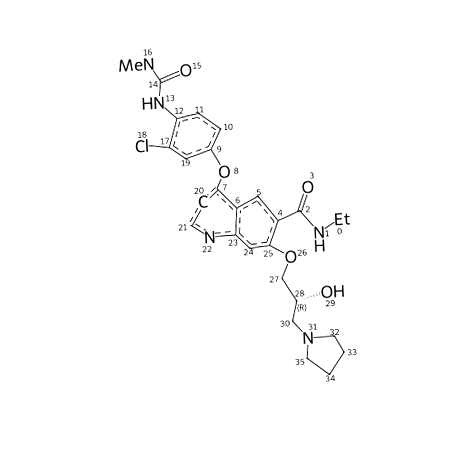 CCNC(=O)c1cc2c(Oc3ccc(NC(=O)NC)c(Cl)c3)ccnc2cc1OC[C@H](O)CN1CCCC1